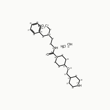 CCOC(=O)CN(CCNC(=O)N1CCC(OCC2CCNCC2)CC1)Cc1ccccc1.Cl.Cl